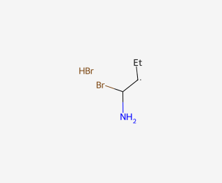 Br.CC[CH]C(N)Br